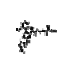 COC(=O)NCCCNC(=O)c1nc(Nc2cc(C)n[nH]2)ccc1-c1ccccc1C(F)(F)F